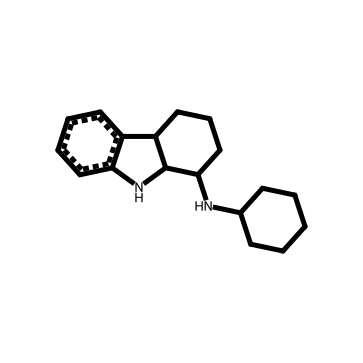 c1ccc2c(c1)NC1C(NC3CCCCC3)CCCC21